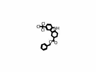 O=C(OCc1ccccc1)C1CCc2[nH]c3ccc(C(Cl)(Cl)Cl)cc3c2C1